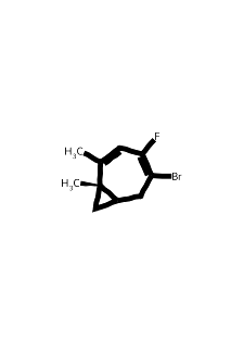 CC1=CC(F)=C(Br)CC2C[C@]12C